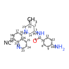 C[C@H]1C[C@@H](NC(=O)c2ccc(N)cc2)CN(c2ccc(C#N)c3ncccc23)C1